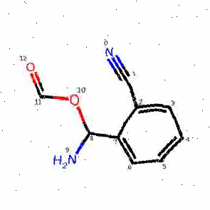 N#Cc1ccccc1[C](N)OC=O